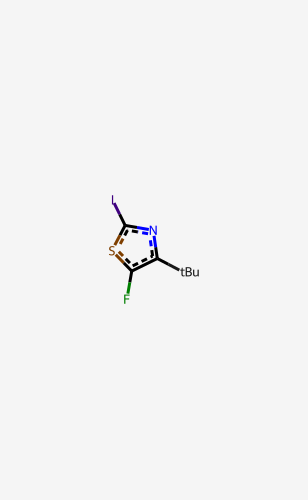 CC(C)(C)c1nc(I)sc1F